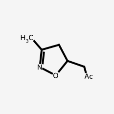 CC(=O)CC1CC(C)=NO1